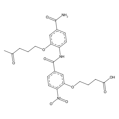 CC(=O)CCCOc1cc(C(N)=O)ccc1NC(=O)c1ccc([N+](=O)[O-])c(OCCCC(=O)O)c1